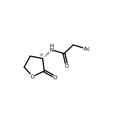 CC(=O)CC(=O)N[C@H]1CCOC1=O